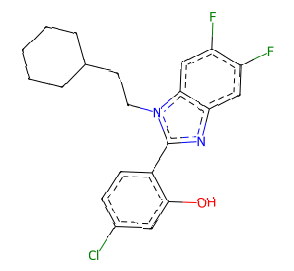 Oc1cc(Cl)ccc1-c1nc2cc(F)c(F)cc2n1CCC1CCCCC1